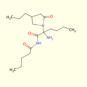 CCCCC(=O)NC(=O)C(N)(CCCC)N1CC(CCC)CC1=O